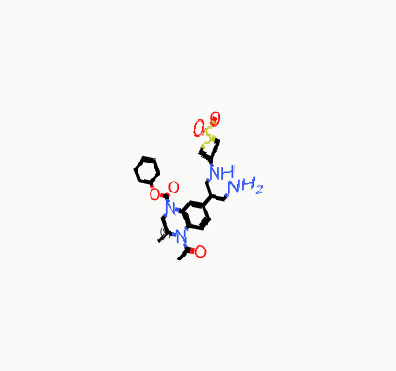 CC(=O)N1c2ccc(C(CN)CNC3CS(=O)(=O)C3)cc2N(C(=O)OC2CCCCC2)C[C@@H]1C